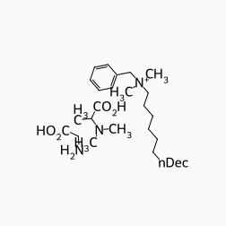 CC(C(=O)O)N(C)C.CCCCCCCCCCCCCCCC[N+](C)(C)Cc1ccccc1.NCC(=O)O